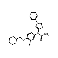 NC(=O)N(c1ccc(OCC2CCCCC2)c(F)c1)c1nc(-c2cccnc2)cs1